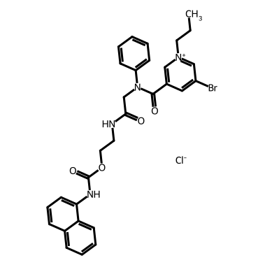 CCC[n+]1cc(Br)cc(C(=O)N(CC(=O)NCCOC(=O)Nc2cccc3ccccc23)c2ccccc2)c1.[Cl-]